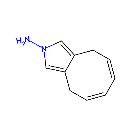 Nn1cc2c(c1)C/C=C\C=CC2